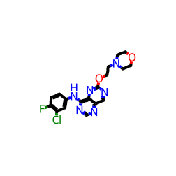 Fc1ccc(Nc2ncnc3cnc(OCCN4CCOCC4)nc23)cc1Cl